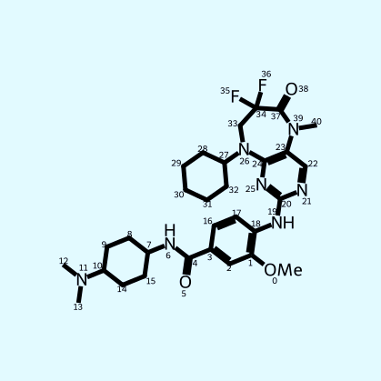 COc1cc(C(=O)NC2CCC(N(C)C)CC2)ccc1Nc1ncc2c(n1)N(C1CCCCC1)CC(F)(F)C(=O)N2C